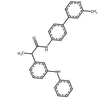 Cc1cc(-c2ccc(NC(=O)C(C)c3cccc(Nc4ccccc4)c3)cc2)ccn1